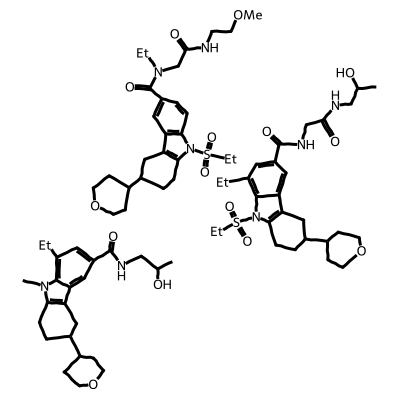 CCN(CC(=O)NCCOC)C(=O)c1ccc2c(c1)c1c(n2S(=O)(=O)CC)CCC(C2CCOCC2)C1.CCc1cc(C(=O)NCC(=O)NCC(C)O)cc2c3c(n(S(=O)(=O)CC)c12)CCC(C1CCOCC1)C3.CCc1cc(C(=O)NCC(C)O)cc2c3c(n(C)c12)CCC(C1CCOCC1)C3